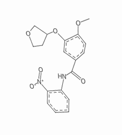 COc1ccc(C(=O)Nc2ccccc2[N+](=O)[O-])cc1OC1CCOC1